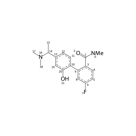 CNC(=O)c1ccc(F)cc1-c1ccc(C(C)N(C)C)cc1O